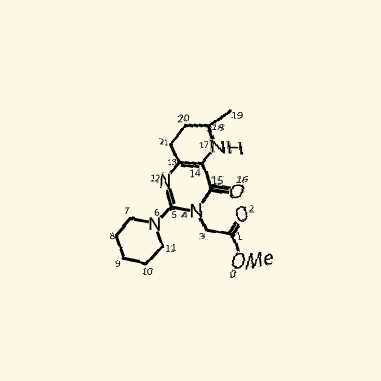 COC(=O)Cn1c(N2CCCCC2)nc2c(c1=O)NC(C)CC2